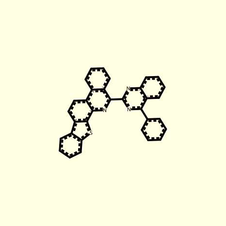 c1ccc(-c2nc(-c3nc4c(ccc5c6ccccc6sc54)c4ccccc34)nc3ccccc23)cc1